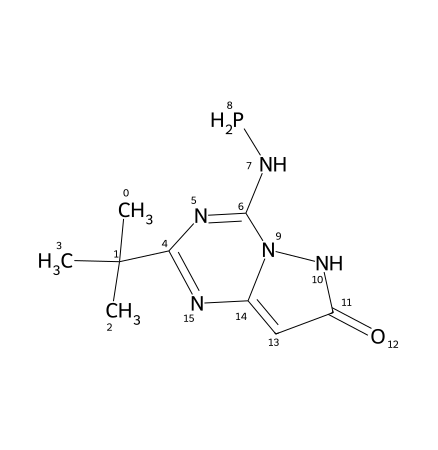 CC(C)(C)c1nc(NP)n2[nH]c(=O)cc2n1